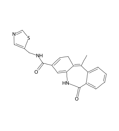 CC1=C2CC=C(C(=O)NCc3cncs3)C=C2NC(=O)c2ccccc21